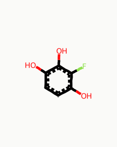 Oc1[c]cc(O)c(O)c1F